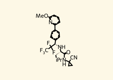 COc1cccc(-c2ccc([C@H](N[C@@H](CC(C)C)C(=O)NC3(C#N)CC3)C(F)(F)C(F)(F)F)cc2)n1